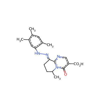 Cc1cc(C)c(NN=C2CCC(C)n3c2ncc(C(=O)O)c3=O)cc1C